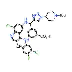 CC(C)(C)N1CCC(n2cc(C(Nc3cc(Cl)c4ncc(C#N)c(Nc5ccc(F)c(Cl)c5)c4c3)c3cccc(C(=O)O)c3)nn2)CC1